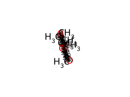 CCC(C)(c1ccc(OC)c(C)c1)c1ccc(OC(=O)c2ccc(-c3ccc(C(C)=O)cc3)cc2)c(C)c1